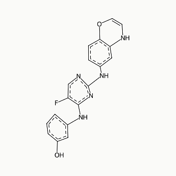 Oc1cccc(Nc2nc(Nc3ccc4c(c3)NC=CO4)ncc2F)c1